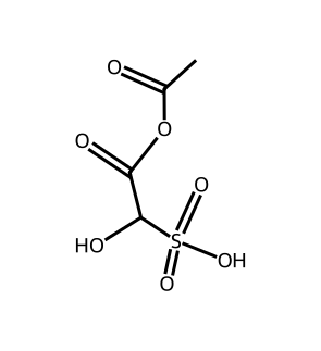 CC(=O)OC(=O)C(O)S(=O)(=O)O